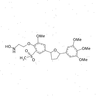 COc1cc(C2CCC(c3cc(OC)c(OCCNO)c(S(C)(=O)=O)c3)O2)cc(OC)c1OC